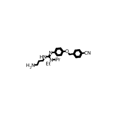 CCN(/C(=N\c1ccc(OCc2ccc(C#N)cc2)cc1)NCCCN)C(C)C